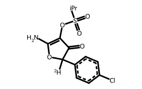 [2H]C1(c2ccc(Cl)cc2)OC(N)=C(OS(=O)(=O)C(C)C)C1=O